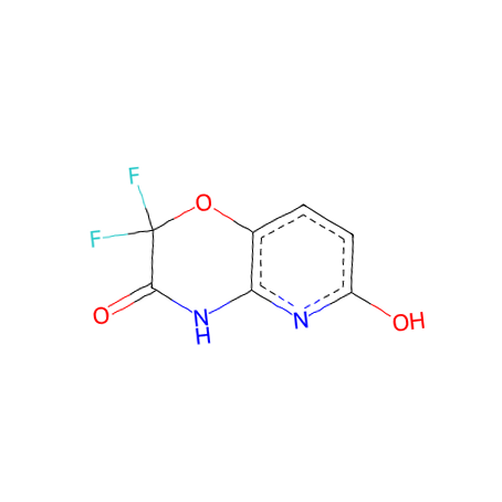 O=C1Nc2nc(O)ccc2OC1(F)F